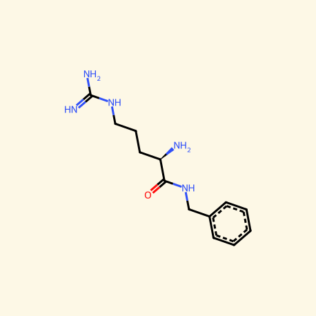 N=C(N)NCCC[C@@H](N)C(=O)NCc1ccccc1